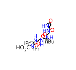 CCCC[C@H](NC(=O)CNC(=O)C1CC(=O)CN1)C(=O)NCC(=O)N[C@@H](CC(C)C)C(=O)N(CCC)CC(=O)O